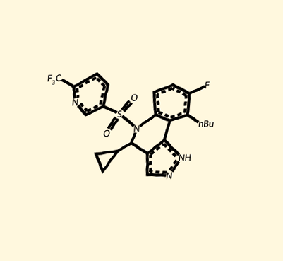 CCCCc1c(F)ccc2c1-c1[nH]ncc1C(C1CC1)N2S(=O)(=O)c1ccc(C(F)(F)F)nc1